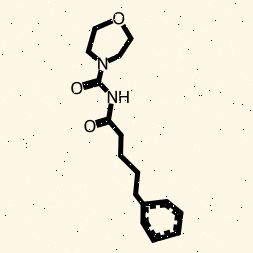 O=C(CCCCc1ccccc1)NC(=O)N1CCOCC1